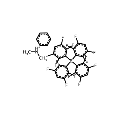 C[NH+](C)c1ccccc1.Fc1cc(F)c(F)c([B-](c2c(F)c(F)cc(F)c2F)(c2c(F)c(F)cc(F)c2F)c2c(F)c(F)cc(F)c2F)c1F